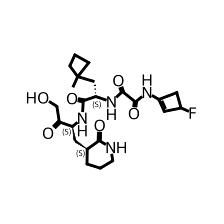 CC1(C[C@H](NC(=O)C(=O)NC2=CC(F)C2)C(=O)N[C@@H](C[C@@H]2CCCNC2=O)C(=O)CO)CCC1